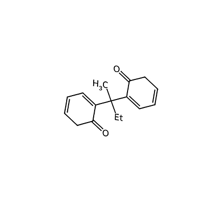 CCC(C)(C1=CC=CCC1=O)C1=CC=CCC1=O